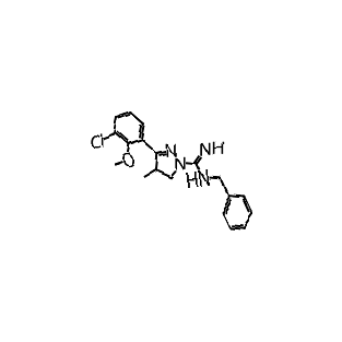 COc1c(Cl)cccc1C1=NN(C(=N)NCc2ccccc2)CC1C